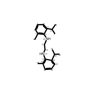 Cc1cccc(C(C)C)c1NCCNc1c(C)cccc1C(C)C